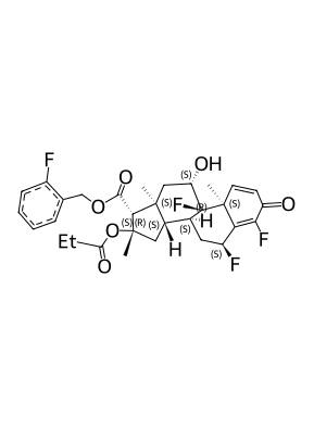 CCC(=O)O[C@@]1(C)C[C@H]2[C@@H]3C[C@H](F)C4=C(F)C(=O)C=C[C@]4(C)[C@@]3(F)[C@@H](O)C[C@]2(C)[C@H]1C(=O)OCc1ccccc1F